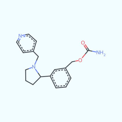 NC(=O)OCc1cccc(C2CCCN2Cc2ccncc2)c1